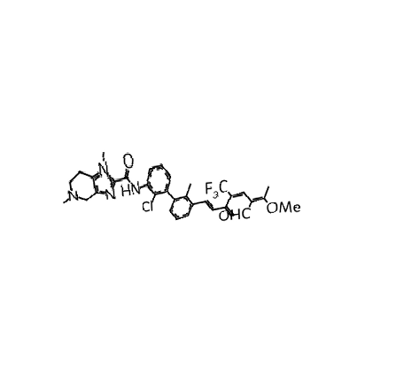 C=C(/C=C/c1cccc(-c2cccc(NC(=O)c3nc4c(n3C)CCN(C)C4)c2Cl)c1C)/C(=C\C(C=O)=C(/C)OC)C(F)(F)F